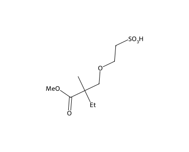 CCC(C)(COCCS(=O)(=O)O)C(=O)OC